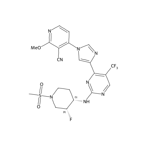 COc1nccc(-n2cnc(-c3nc(N[C@H]4CCN(S(C)(=O)=O)C[C@H]4F)ncc3C(F)(F)F)c2)c1C#N